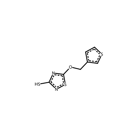 Sc1nsc(OCc2ccsc2)n1